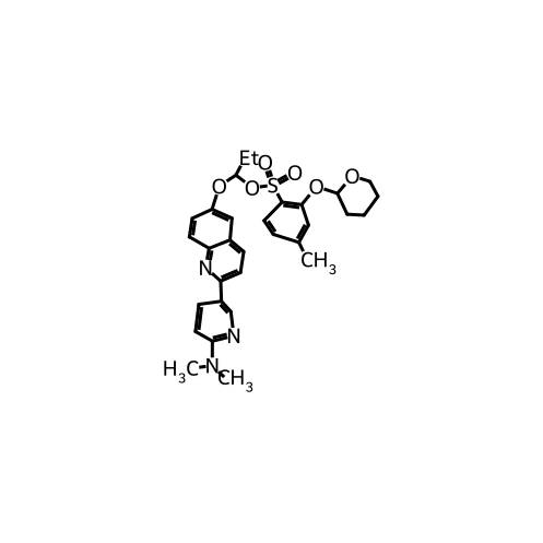 CCC(Oc1ccc2nc(-c3ccc(N(C)C)nc3)ccc2c1)OS(=O)(=O)c1ccc(C)cc1OC1CCCCO1